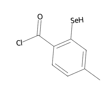 Cc1ccc(C(=O)Cl)c([SeH])c1